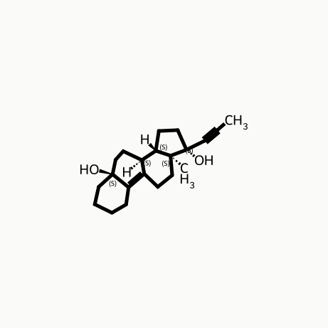 CC#C[C@]1(O)CC[C@H]2[C@@H]3CC[C@@]4(O)CCCCC4=C3CC[C@@]21C